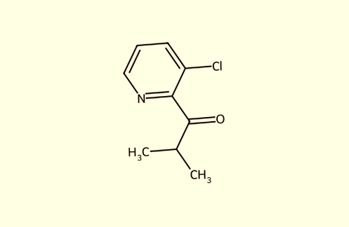 CC(C)C(=O)c1ncccc1Cl